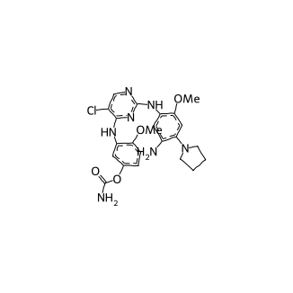 COc1cc(N2CCCC2)c(N)cc1Nc1ncc(Cl)c(Nc2cc(OC(N)=O)ccc2OC)n1